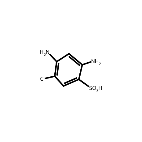 Nc1cc(N)c(S(=O)(=O)O)cc1Cl